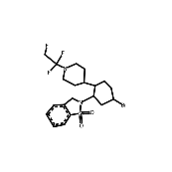 O=S1(=O)c2ccccc2CN1C1CC(Br)CCC1C1CCN(C(F)(F)CF)CC1